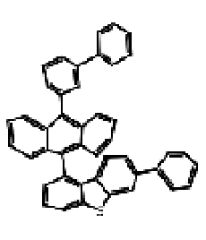 c1ccc(-c2cccc(-c3c4ccccc4c(-c4cccc5sc6cc(-c7ccccc7)ccc6c45)c4ccccc34)c2)cc1